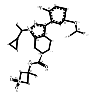 CC(C1CC1)n1nc(-c2cc(OC(F)F)ccc2F)c2c1C[C@H](C(=O)NC1(C)CS(=O)(=O)C1)CC2